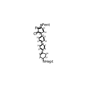 CCCCCCCC1CC=C(c2ccc(-c3ccc(-c4ccc(CCCCC)c(F)c4Cl)cc3)cc2)CC1